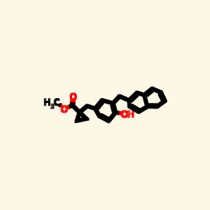 COC(=O)C1(Cc2ccc(O)c(Cc3ccc4ccccc4c3)c2)CC1